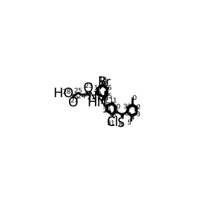 Cc1ccc(C)c(C(=S)c2ccc(Nc3ccc(Br)cc3NC(=O)CCC(=O)O)cc2Cl)c1